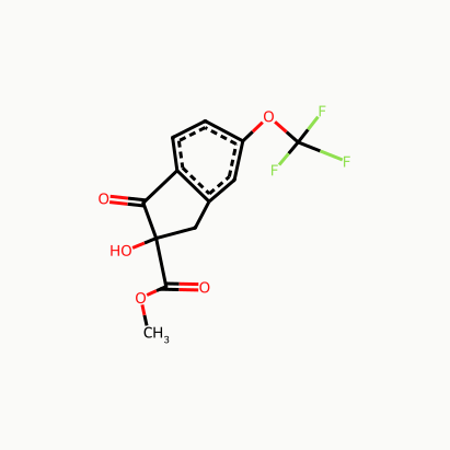 COC(=O)C1(O)Cc2cc(OC(F)(F)F)ccc2C1=O